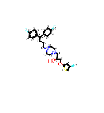 OC(COc1cc(F)cs1)CN1CCN(CCCC(c2ccc(F)cc2)c2ccc(F)cc2)CC1